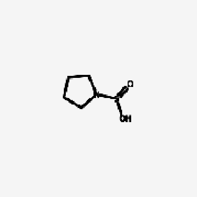 O=S(O)N1CCCC1